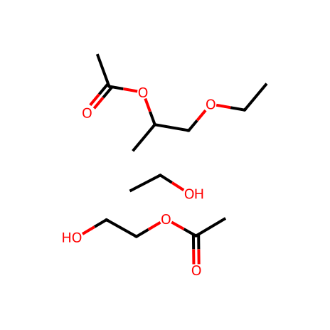 CC(=O)OCCO.CCO.CCOCC(C)OC(C)=O